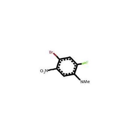 CNc1cc([N+](=O)[O-])c(Br)cc1F